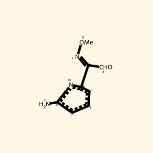 CON=C([C]=O)c1cccc(N)n1